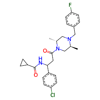 C[C@@H]1CN(Cc2ccc(F)cc2)[C@@H](C)CN1C(=O)CC(NC(=O)C1CC1)c1ccc(Cl)cc1